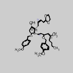 CCCC[C@H](C)CC(/C=C/[C@H]1C(OCc2ccc(OC)cc2)C[C@H](O)[C@@H]1C/C=C\CC1OCCO1)OCc1ccc(OC)cc1